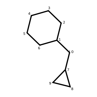 [CH](C1CCCCC1)C1CC1